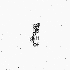 O=C(CCc1cccc(F)c1)NCc1ccc(-c2nc(C(=O)N3CCCCC3)co2)cc1